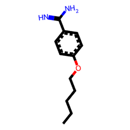 CCCCCOc1ccc(C(=N)N)cc1